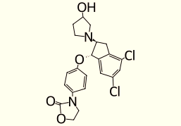 O=C1OCCN1c1ccc(O[C@H]2c3cc(Cl)cc(Cl)c3C[C@@H]2N2CCC(O)C2)cc1